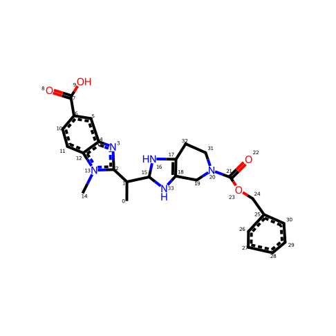 CC(c1nc2cc(C(=O)O)ccc2n1C)C1NC2=C(CN(C(=O)OCc3ccccc3)CC2)N1